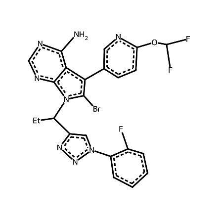 CCC(c1cn(-c2ccccc2F)nn1)n1c(Br)c(-c2ccc(OC(F)F)nc2)c2c(N)ncnc21